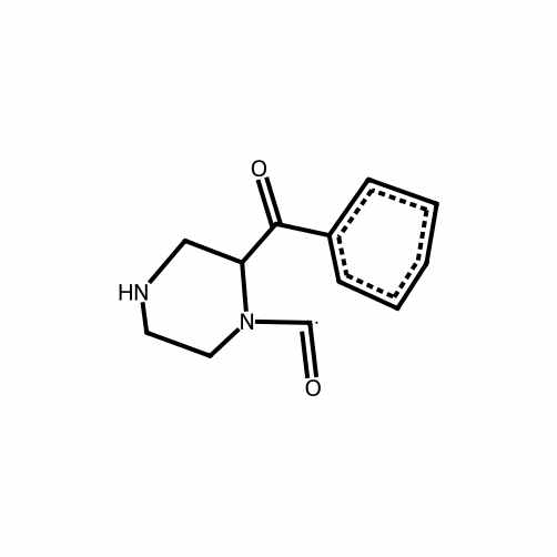 O=[C]N1CCNCC1C(=O)c1ccccc1